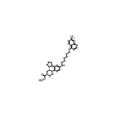 CC(C)(C)OC(=O)N1CCN(c2ccc(NCCCCCCSc3ccnc4cc(C(F)(F)F)ccc34)cc2C2CCCC2)CC1